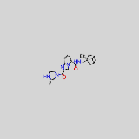 CCC1(CNC(=O)c2cccc3nc(C(=O)N4CCN[C@H](C)C4)cn23)CC2CC(C1)C2C